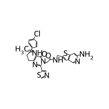 C[C@@]1(c2ccc(Cl)cc2)CCc2nc(-c3cncs3)n(CC(=O)NCc3cc4cnc(N)cc4s3)c(=O)c2N1